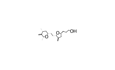 C=C1C[C@H](CCCO)O[C@H]1CC[C@H]1C[C@@H](C)C(=C)[C@@H](C)O1